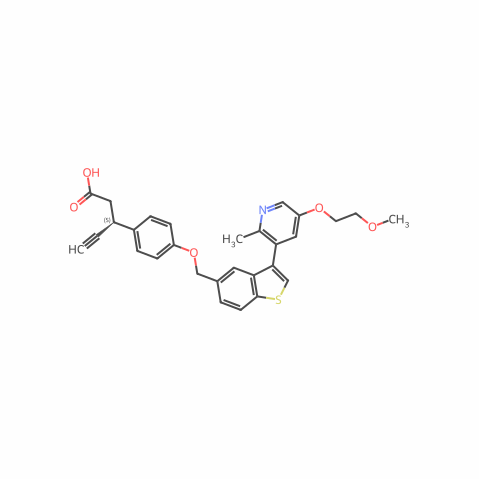 C#C[C@@H](CC(=O)O)c1ccc(OCc2ccc3scc(-c4cc(OCCOC)cnc4C)c3c2)cc1